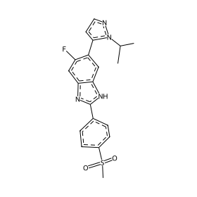 CC(C)n1nccc1-c1cc2[nH]c(-c3ccc(S(C)(=O)=O)cc3)nc2cc1F